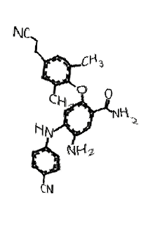 Cc1cc(CCC#N)cc(C)c1Oc1cc(Nc2ccc(C#N)cc2)c(N)cc1C(N)=O